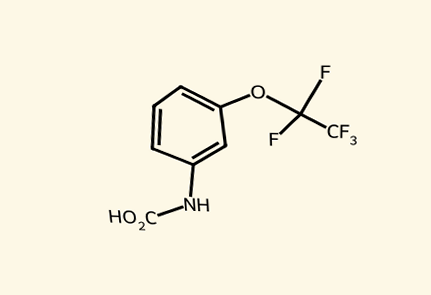 O=C(O)Nc1cccc(OC(F)(F)C(F)(F)F)c1